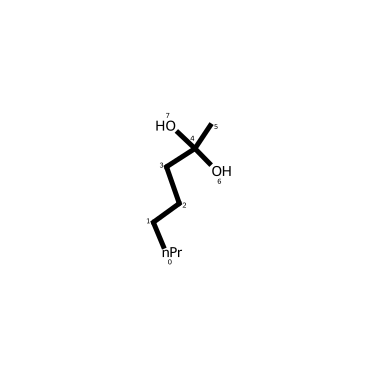 CCCCCCC(C)(O)O